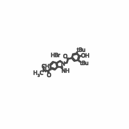 Br.CN(C)C(=O)c1ccc2c(c1)C(=N)N(CC(=O)c1cc(C(C)(C)C)c(O)c(C(C)(C)C)c1)C2